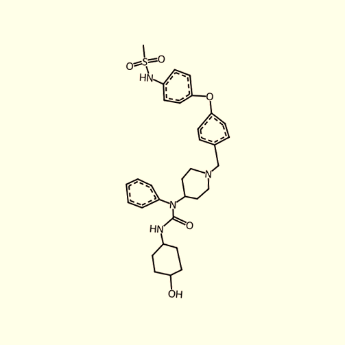 CS(=O)(=O)Nc1ccc(Oc2ccc(CN3CCC(N(C(=O)NC4CCC(O)CC4)c4ccccc4)CC3)cc2)cc1